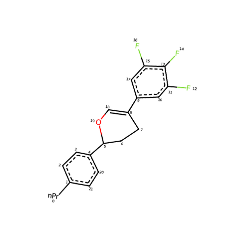 CCCc1ccc(C2CCC(c3cc(F)c(F)c(F)c3)=CO2)cc1